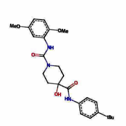 COc1ccc(OC)c(NC(=O)N2CCC(O)(C(=O)Nc3ccc(C(C)(C)C)cc3)CC2)c1